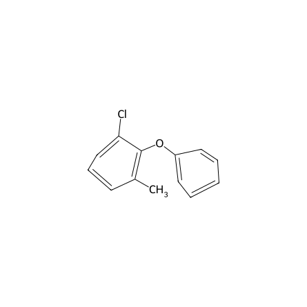 Cc1cccc(Cl)c1Oc1ccccc1